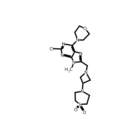 Cn1c(CN2CC(N3CCS(=O)(=O)CC3)C2)nc2c(N3CCOCC3)nc(Cl)nc21